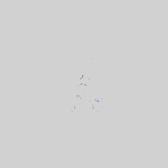 CCCCCc1ccc(C(CCCCC)COc2ccccn2)cc1